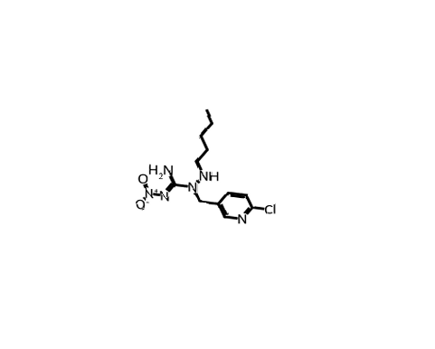 CCCCCNN(Cc1ccc(Cl)nc1)C(N)=N[N+](=O)[O-]